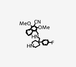 COc1c(C#N)c(OC)c2ccccc2c1CNCC1(c2ccc(F)cc2)CCNCC1